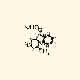 C[C@H]1CNCCN1.O=COCc1ccccc1